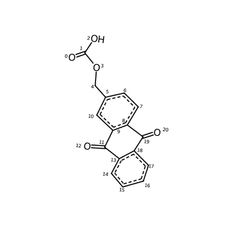 O=C(O)OCc1ccc2c(c1)C(=O)c1ccccc1C2=O